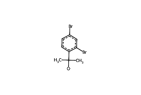 CC(C)([O])c1ccc(Br)cc1Br